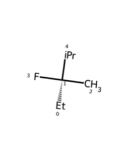 CC[C@](C)(F)C(C)C